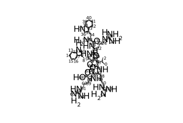 CC(C)[C@H](NC(=O)[C@H](Cc1c[nH]c2ccccc12)NC(=O)[C@H](CCCNC(=N)N)NC(=O)[C@@H](N)Cc1c[nH]c2ccccc12)C(=O)N[C@@H](CCCNC(=N)N)C(=O)N[C@@H](CCCNC(=N)N)C(=O)O